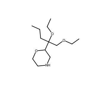 CCCC(COCC)(OCC)C1CNCCO1